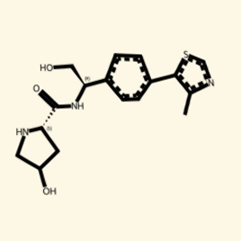 Cc1ncsc1-c1ccc([C@H](CO)NC(=O)[C@@H]2CC(O)CN2)cc1